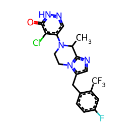 CC1c2ncc(Cc3ccc(F)cc3C(F)(F)F)n2CCN1c1cn[nH]c(=O)c1Cl